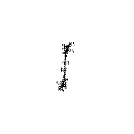 Cc1cc(S(=O)(=O)NCCOCCOCCNC(=O)NCCCCNC(=O)NCCOCCOCCNS(=O)(=O)c2cc(C)c3c(c2)-c2c(Cl)cc(Cl)c4c2[C@H](O3)[C@@H](N2CCC[C@@H](N)C2)C4)cc2c1O[C@H]1c3c(c(Cl)cc(Cl)c3-2)C[C@@H]1N1CCC[C@@H](N)C1